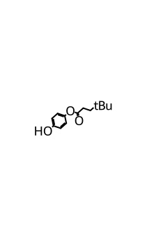 CC(C)(C)CCC(=O)Oc1ccc(O)cc1